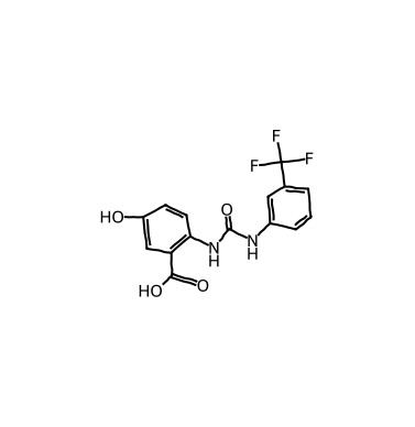 O=C(Nc1cccc(C(F)(F)F)c1)Nc1ccc(O)cc1C(=O)O